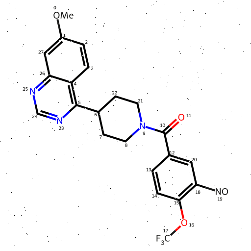 COc1ccc2c(C3CCN(C(=O)c4ccc(OC(F)(F)F)c(N=O)c4)CC3)ncnc2c1